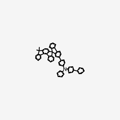 CC1(C)c2ccccc2-c2c1ccc1c2-c2ccccc2C12c1ccccc1-c1ccc(-c3ccc(N(c4ccccc4)c4ccc(-c5ccccc5)cc4)cc3)cc12